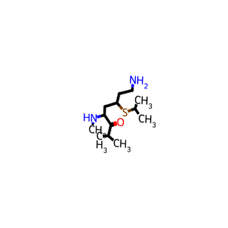 CNC(CC(CCN)SC(C)C)C(=O)C(C)C